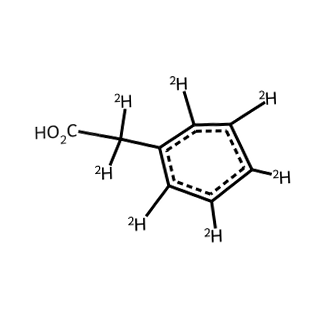 [2H]c1c([2H])c([2H])c(C([2H])([2H])C(=O)O)c([2H])c1[2H]